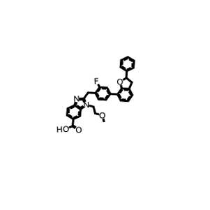 COCCn1c(Cc2ccc(-c3cccc4c3OC(c3ccccc3)C4)cc2F)nc2ccc(C(=O)O)cc21